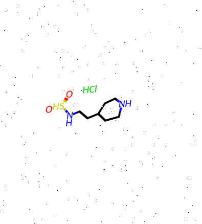 Cl.O=[SH](=O)NCCC1CCNCC1